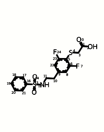 O=C(O)CSc1c(F)cc(CCNS(=O)(=O)c2ccccc2)cc1F